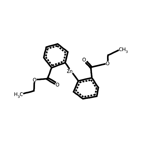 CCOC(=O)c1cccc[c]1[Zn][c]1ccccc1C(=O)OCC